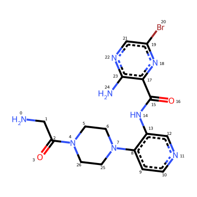 NCC(=O)N1CCN(c2ccncc2NC(=O)c2nc(Br)cnc2N)CC1